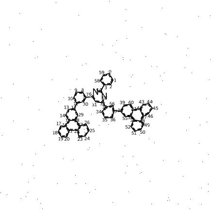 c1ccc(-c2nc(-c3cccc(-c4ccc5c6ccccc6c6ccccc6c5c4)c3)cc(-c3cccc(-c4ccc5c6ccccc6c6ccccc6c5c4)c3)n2)cc1